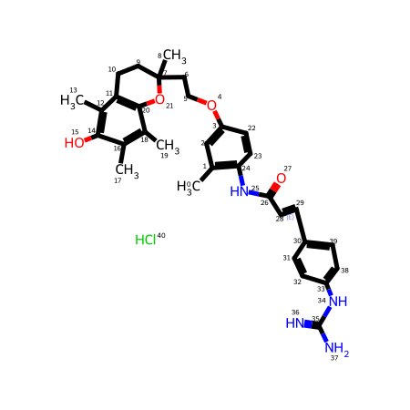 Cc1cc(OCCC2(C)CCc3c(C)c(O)c(C)c(C)c3O2)ccc1NC(=O)/C=C/c1ccc(NC(=N)N)cc1.Cl